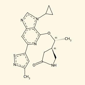 Cc1cc(-c2cc3ncn(C4CC4)c3c(O[C@H](C)[C@H]3CNC(=O)C3)n2)sn1